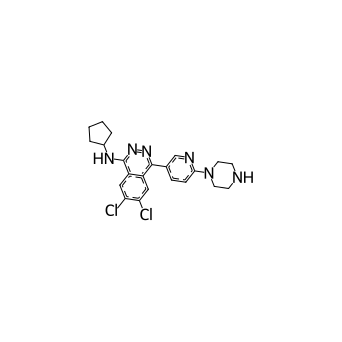 Clc1cc2c(NC3CCCC3)nnc(-c3ccc(N4CCNCC4)nc3)c2cc1Cl